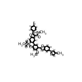 CNC(=O)c1c(-c2ccc(F)cc2)oc2cc(N(C)S(C)(=O)=O)c(-c3ccc(OC)c(-c4nc5cc(-n6cc(C)cn6)ccc5o4)c3)cc12